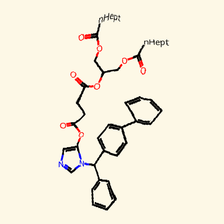 CCCCCCCC(=O)OCC(COC(=O)CCCCCCC)OC(=O)CCC(=O)Oc1cncn1C(c1ccccc1)c1ccc(-c2ccccc2)cc1